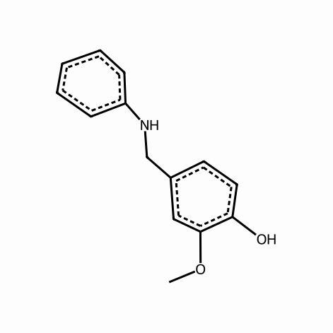 COc1cc(CNc2ccccc2)ccc1O